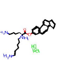 Cl.Cl.Cl.NCCCCCCN[C@@H](CCCCN)C(=O)Oc1ccc2c(ccc3c4c(ccc32)C=CC4)c1